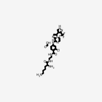 NCCCCC(N)C(=O)NCCNC(=O)c1ccc(Nc2nccn3c(-c4c[nH]nc4C(F)(F)F)cnc23)cc1Cl.O=CO